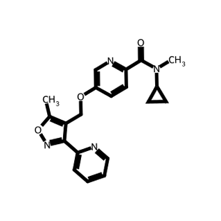 Cc1onc(-c2ccccn2)c1COc1ccc(C(=O)N(C)C2CC2)nc1